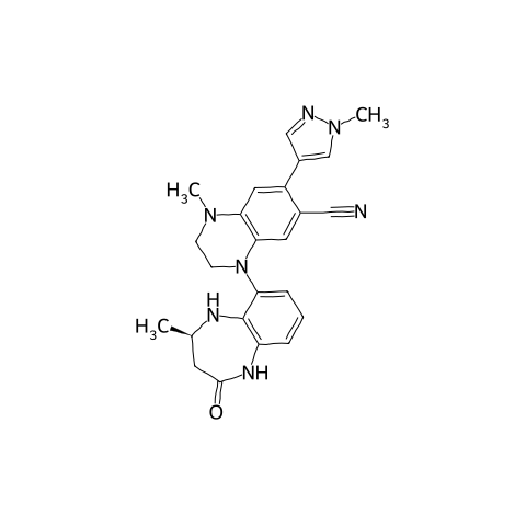 C[C@@H]1CC(=O)Nc2cccc(N3CCN(C)c4cc(-c5cnn(C)c5)c(C#N)cc43)c2N1